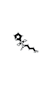 CC(C)CCCN(F)S(=O)(=O)c1cccs1